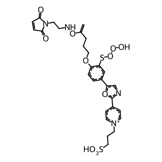 C=C(CCCOc1ccc(-c2cnc(-c3cc[n+](CCCS(=O)(=O)O)cc3)o2)cc1SOOO)ONCCN1C(=O)C=CC1=O